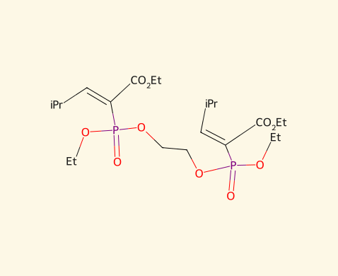 CCOC(=O)C(=CC(C)C)P(=O)(OCC)OCCOP(=O)(OCC)C(=CC(C)C)C(=O)OCC